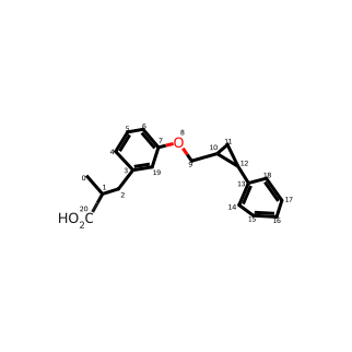 CC(Cc1cccc(OCC2CC2c2ccccc2)c1)C(=O)O